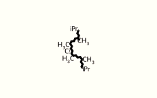 CC(C)CCCC(C)CCCC(C)CCCCC(C)CCCC(C)CCCC(C)C.[C]